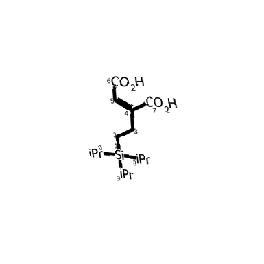 CC(C)[Si](CC/C(=C/C(=O)O)C(=O)O)(C(C)C)C(C)C